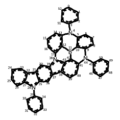 c1ccc(N2c3cccc4c3B3c5c2cccc5-n2c5cc6c7ccccc7n(-c7ccccc7)c6cc5c5ccc(c3c52)N4c2ccccc2)cc1